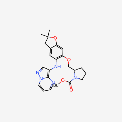 CC(C)(C)OC(=O)N1CCCC1COc1cc2c(cc1Nc1cnn3cccnc13)CC(C)(C)O2